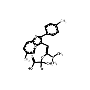 Cc1ccc(-c2nc3ccc(C)cn3c2C=C(OC(C)(O)C(=O)O)N(C)C)cc1